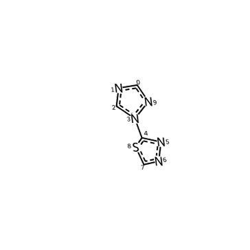 c1ncn(-c2nncs2)n1